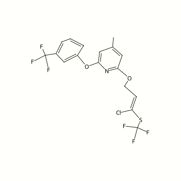 Cc1cc(OCC=C(Cl)SC(F)(F)F)nc(Oc2cccc(C(F)(F)F)c2)c1